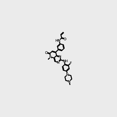 C=CC(=O)Nc1cccc(-c2cc(=O)n(C)c3cnc(Nc4ccc(N5CCN(C)CC5)cc4F)nc23)c1